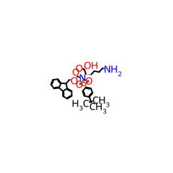 CC(C)(C)c1ccc(S(=O)(=O)N(C(=O)OCC2c3ccccc3-c3ccccc32)[C@@H](CCCCN)C(=O)O)cc1